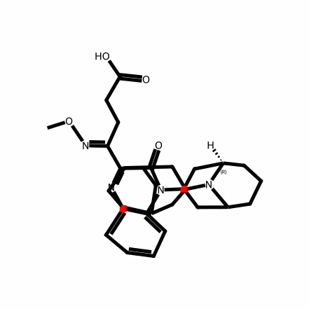 CON=C(CCC(=O)O)c1nc2ccccc2n(C2CC3CCC[C@H](C2)N3C2CC3CCCC(C3)C2)c1=O